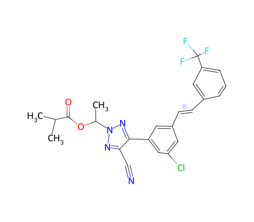 CC(C)C(=O)OC(C)n1nc(C#N)c(-c2cc(Cl)cc(/C=C/c3cccc(C(F)(F)F)c3)c2)n1